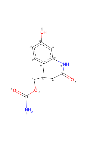 NC(=O)OCC1CC(=O)Nc2cc(O)ccc21